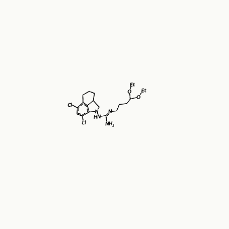 CCOC(CCCN=C(N)NN1CC2CCCc3c(Cl)cc(Cl)c1c32)OCC